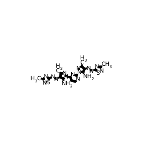 Cc1nsc(N=Nc2c(C)nn(-c3ccnc(-n4nc(C)c(N=Nc5nc(C)ns5)c4N)n3)c2N)n1